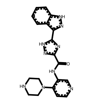 O=C(Nc1cnccc1N1CCNCC1)c1n[nH]c(-c2n[nH]c3ccccc23)n1